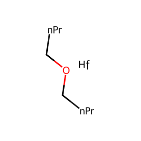 CCCCOCCCC.[Hf]